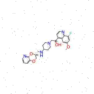 COc1cc(F)c2nccc([C@@H](O)CN3CCC(NC[C@@H]4COc5cccnc5O4)CC3)c2c1